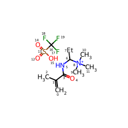 C=C(C)C(=O)NC(CC)[N+](C)(C)C.O=S(=O)(O)C(F)(F)F